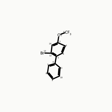 FC(F)(F)Oc1ccc(-c2ccccc2)c(Br)c1